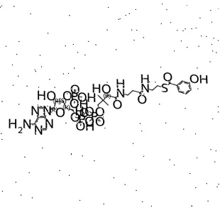 CC(C)(COP(=O)(O)OP(=O)(O)OC[C@H]1O[C@@H](n2cnc3c(N)ncnc32)[C@H](O)[C@@H]1OP(=O)(O)O)[C@@H](O)C(=O)NCCC(=O)NCCSC(=O)c1cccc(O)c1